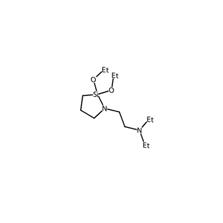 CCO[Si]1(OCC)CCCN1CCN(CC)CC